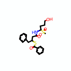 CS(=O)(=O)C(CCCO)NC(=O)CC(Cc1ccccc1)SC(=O)c1ccccc1